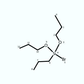 CCCO[Si](Br)(CCC)OCCC